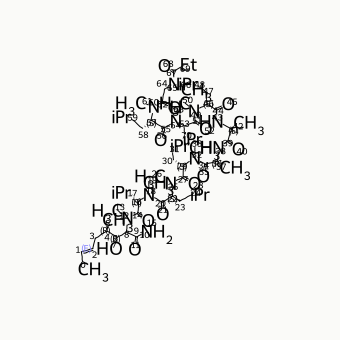 C/C=C/C[C@@H](C)[C@@H](O)C(C(N)=O)N(C)C(=O)[C@H](C(C)C)N(C)C(=O)[C@H](CC(C)C)N(C)C(=O)[C@H](CC(C)C)N(C)C(=O)[C@@H](C)NC(=O)[C@H](C)NC(=O)[C@H](CC(C)C)N(C)C(=O)C(NC(=O)[C@H](CC(C)C)N(C)C(=O)CN(C)C(=O)CC)C(C)C